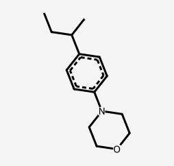 CCC(C)c1ccc(N2CCOCC2)cc1